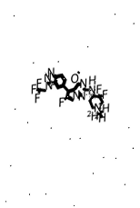 [2H]C([2H])([2H])N1CC[C@@H](Nc2nc(OC)c3c(-c4ccc5nnn(CC(F)(F)F)c5c4)c(F)cn3n2)C(F)(F)C1